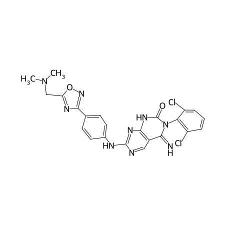 CN(C)Cc1nc(-c2ccc(Nc3ncc4c(=N)n(-c5c(Cl)cccc5Cl)c(=O)[nH]c4n3)cc2)no1